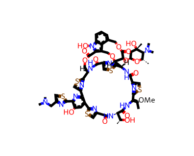 CO/C(C)=C1/NC(=O)[C@H]([C@@H](C)O)NC(=O)c2csc(n2)-c2cc(O)c(-c3nc(CN(C)C)cs3)nc2-c2csc(n2)[C@@H]2COC(=O)c3c4c5c(cccc5n3O)COC(=O)[C@@H](O[C@H]3C[C@](C)(O)[C@H](N(C)C)[C@H](C)O3)[C@@H](OC4)[C@H](NC(=O)c3csc1n3)c1nc(cs1)C(=O)N2